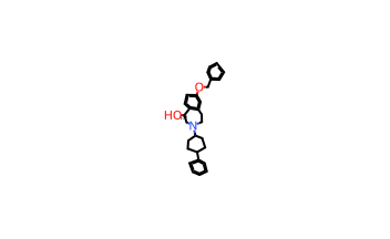 O[C@@H]1CN(C2CCC(c3ccccc3)CC2)CCc2cc(OCc3ccccc3)ccc21